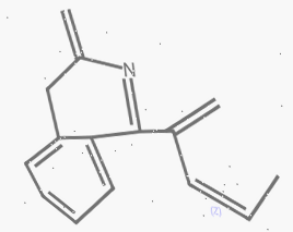 C=C1Cc2ccccc2C(C(=C)/C=C\C)=N1